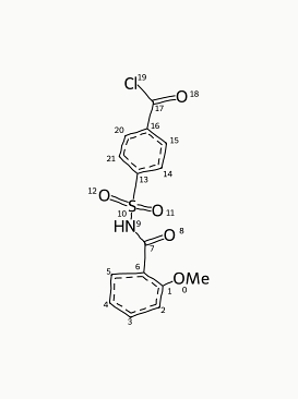 COc1ccccc1C(=O)NS(=O)(=O)c1ccc(C(=O)Cl)cc1